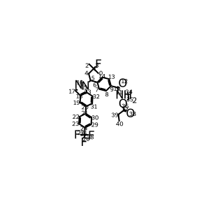 CC(C)(F)CC(c1ccc(C(N)=O)cc1)n1ncc2cc(-c3ccc(C(F)(F)F)cc3)ccc21.CCOC(=O)CC